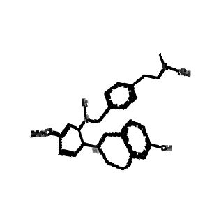 CCCCN(C)CCc1ccc(CN(CC)C2C=C(OC)C=CC2[C@@H]2CCc3cc(O)ccc3C2)cc1